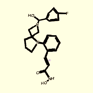 O=C(/C=C/c1ccccc1N1CCCC12CN(C(O)c1ccc(F)cc1)C2)NO